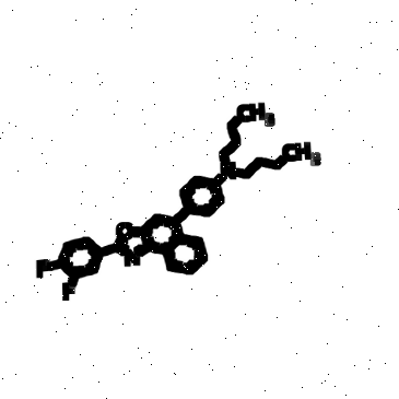 CCCCN(CCCC)c1ccc(-c2cc3oc(-c4ccc(F)c(F)c4)nc3c3ccccc23)cc1